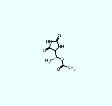 C[C@@H](OC(N)=O)C1NC(=O)NC1=O